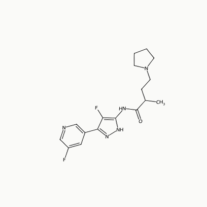 CC(CCN1CCCC1)C(=O)Nc1[nH]nc(-c2cncc(F)c2)c1F